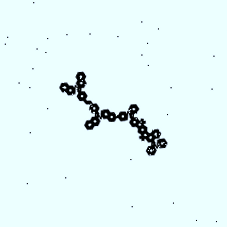 CC1(C)c2cc(N(c3ccccc3)c3ccc(-c4ccc5cc(N(c6ccc(/C=C/c7ccc(N(c8ccc9ccccc9c8)c8ccc9ccccc9c8)cc7)cc6)c6ccc7ccccc7c6)ccc5c4)cc3)ccc2-c2cc3c(cc21)-c1c(cc(N(c2ccccc2)c2ccccc2)c2ccccc12)C3(C)C